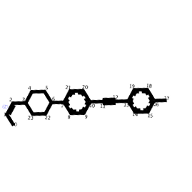 C/C=C\C1CCC(c2ccc(C#Cc3ccc(C)cc3)cc2)CC1